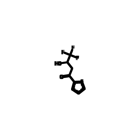 O=C(CC(O)C(F)(F)F)c1cccs1